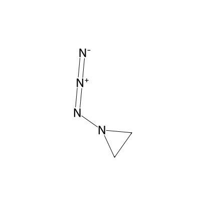 [N-]=[N+]=NN1CC1